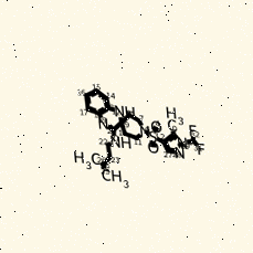 Cc1c(S(=O)(=O)N2CCC3(CC2)Nc2ccccc2N=C3NCCC(C)C)cnn1C(F)F